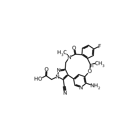 C[C@H]1Oc2cc(cnc2N)-c2c(nn(CC(=O)O)c2C#N)CN(C)C(=O)c2ccc(F)cc21